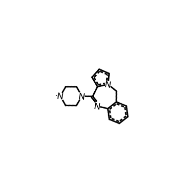 c1ccc2c(c1)Cn1cccc1C(N1CC[N]CC1)=N2